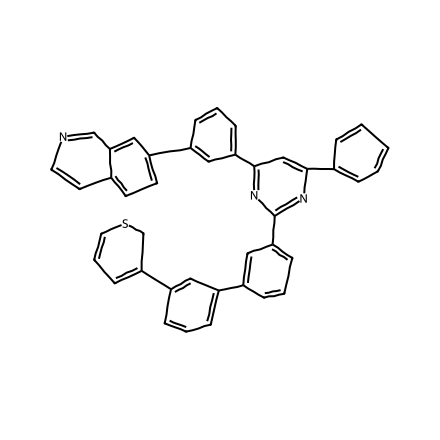 C1=CSCC(c2cccc(-c3cccc(-c4nc(-c5ccccc5)cc(-c5cccc(-c6ccc7ccncc7c6)c5)n4)c3)c2)=C1